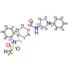 CS(=O)(=O)N1C[C@]2(CC[C@@H](C(=O)N[C@H]3CCN(c4ccccc4)C3)CC2)c2ccccc21